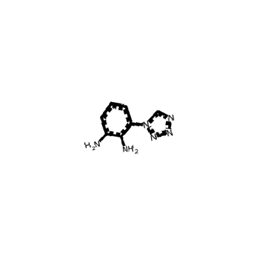 Nc1cccc(-n2cnnn2)c1N